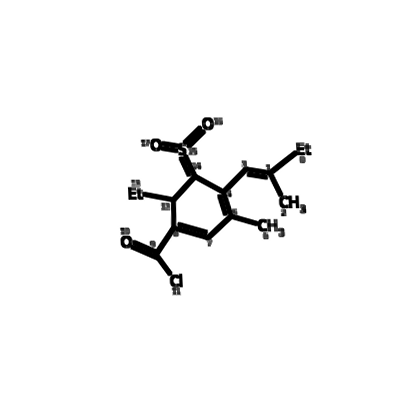 CCC(C)=CC1=C(C)C=C(C(=O)Cl)C(CC)C1=S(=O)=O